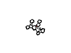 c1ccc(-n2c3ccccc3c3cc(-c4cccc5c6ccccc6n(-c6ccc7ccccc7c6)c45)ncc32)cc1